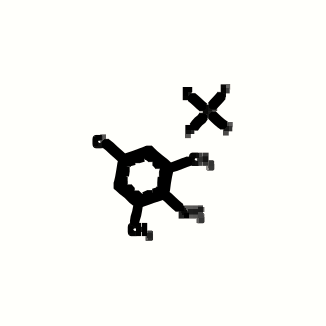 Cc1cc(Cl)cc(C)c1[NH3+].F[B-](F)(F)F